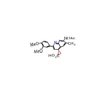 COc1ccc(-c2cc(OC(=O)O)c3cc(C)c(NC(C)=O)cc3n2)cc1OC